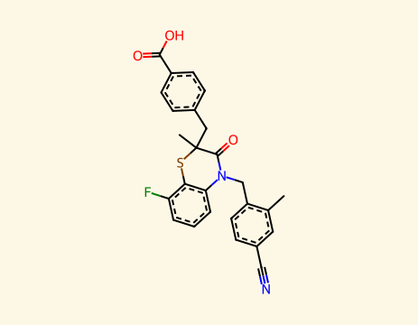 Cc1cc(C#N)ccc1CN1C(=O)C(C)(Cc2ccc(C(=O)O)cc2)Sc2c(F)cccc21